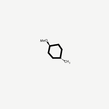 CO[C@H]1CC[C@H](C)CC1